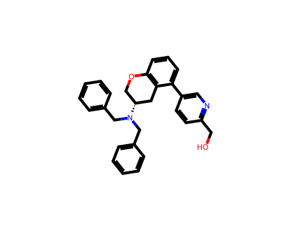 OCc1ccc(-c2cccc3c2C[C@H](N(Cc2ccccc2)Cc2ccccc2)CO3)cn1